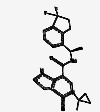 C[C@@H](NC(=O)c1cn(C2(C)CC2)c(=O)c2cc[nH]c12)c1cccc2c1CCC2(F)F